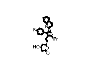 CC(C)c1nn(-c2ccc3ccccc3n2)c(-c2ccc(F)cc2)c1C=C[C@@H]1C[C@@H](O)CC(=O)O1